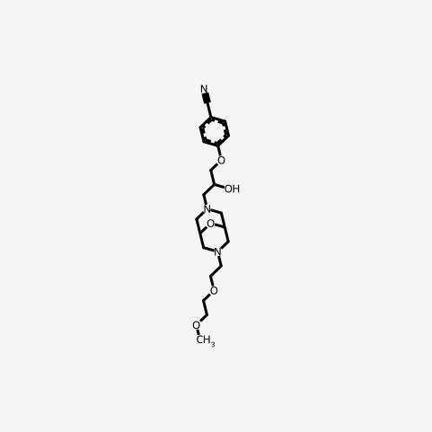 COCCOCCN1CC2CN(CC(O)COc3ccc(C#N)cc3)CC(C1)O2